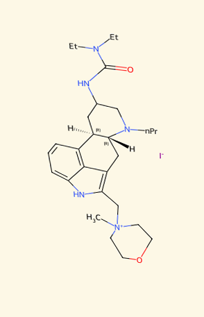 CCCN1CC(NC(=O)N(CC)CC)C[C@@H]2c3cccc4[nH]c(C[N+]5(C)CCOCC5)c(c34)C[C@H]21.[I-]